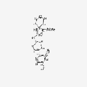 CNC(=O)C1(NCC[C@H]2CC[C@@H](c3ncc(F)cc3Cl)CC2)CCOCC1